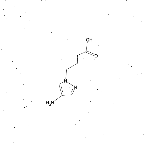 Nc1cnn(CCCC(=O)O)c1